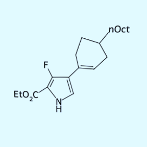 CCCCCCCCC1CC=C(c2c[nH]c(C(=O)OCC)c2F)CC1